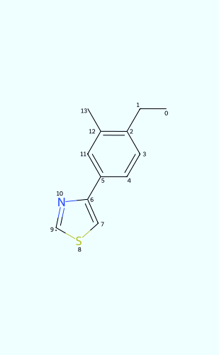 CCc1ccc(-c2cs[c]n2)cc1C